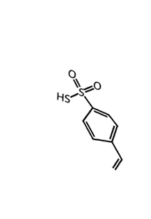 C=Cc1ccc(S(=O)(=O)S)cc1